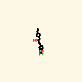 CCCC1CCC(CC(O)C#Cc2ccc(OC(F)(F)F)cc2)CC1